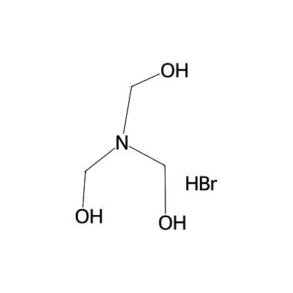 Br.OCN(CO)CO